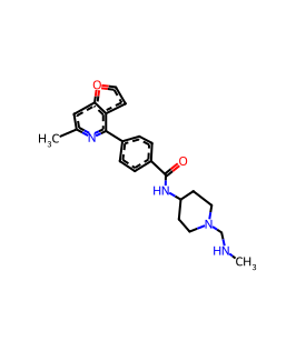 CNCN1CCC(NC(=O)c2ccc(-c3nc(C)cc4occc34)cc2)CC1